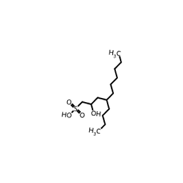 CCCCCCC(CCCC)CC(O)CS(=O)(=O)O